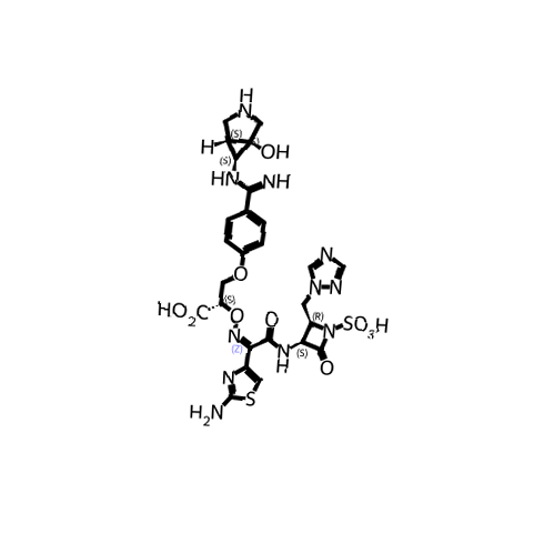 N=C(N[C@H]1[C@@H]2CNC[C@@]21O)c1ccc(OC[C@H](O/N=C(\C(=O)N[C@@H]2C(=O)N(S(=O)(=O)O)[C@@H]2Cn2cncn2)c2csc(N)n2)C(=O)O)cc1